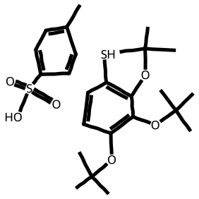 CC(C)(C)Oc1ccc(S)c(OC(C)(C)C)c1OC(C)(C)C.Cc1ccc(S(=O)(=O)O)cc1